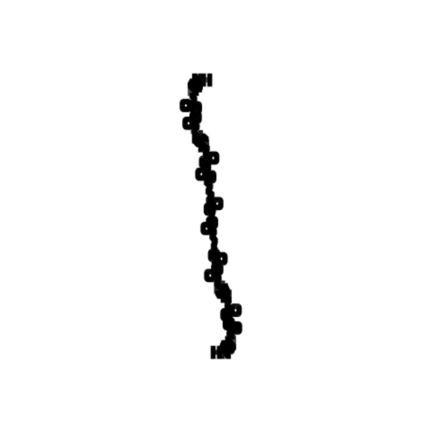 O=C(CCCCCOC(=O)COC(=O)CCN1CCN(CCC(=O)OCOC(=O)CCN2CCNCC2)CC1)OCCOC(=O)CCCCCOC(=O)COC(=O)CCN1CCN(CCC(=O)OCOC(=O)CCN2CCNCC2)CC1